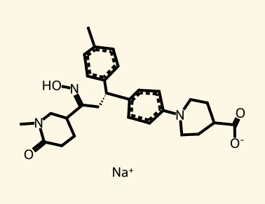 Cc1ccc([C@@H](C/C(=N/O)C2CCC(=O)N(C)C2)c2ccc(N3CCC(C(=O)[O-])CC3)cc2)cc1.[Na+]